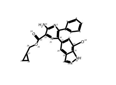 Nc1nc(-c2ccccc2)c(-c2cc(Cl)c3[nH]ncc3c2)nc1C(=O)OCC1CC1